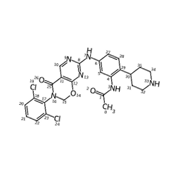 CC(=O)Nc1cc(Nc2ncc3c(n2)OCN(c2c(Cl)cccc2Cl)C3=O)ccc1C1CCNCC1